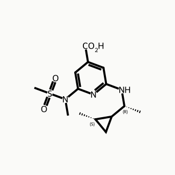 C[C@H]1CC1[C@@H](C)Nc1cc(C(=O)O)cc(N(C)S(C)(=O)=O)n1